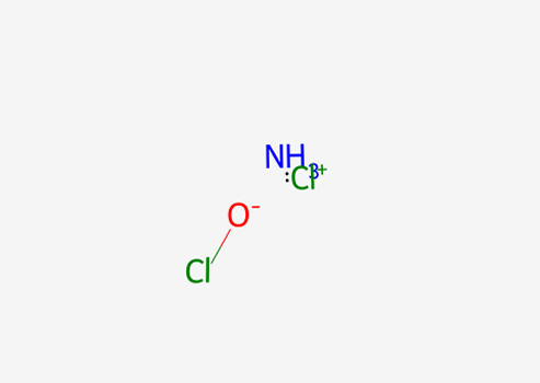 N.[Cl+].[O-]Cl